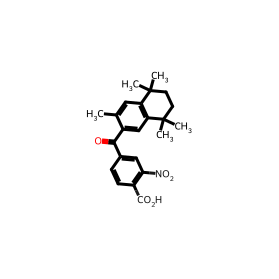 Cc1cc2c(cc1C(=O)c1ccc(C(=O)O)c([N+](=O)[O-])c1)C(C)(C)CCC2(C)C